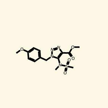 COC(=O)c1nnn(Cc2ccc(OC)cc2)c1N(C)S(C)(=O)=O